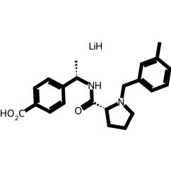 Cc1cccc(CN2CCC[C@@H]2C(=O)N[C@@H](C)c2ccc(C(=O)O)cc2)c1.[LiH]